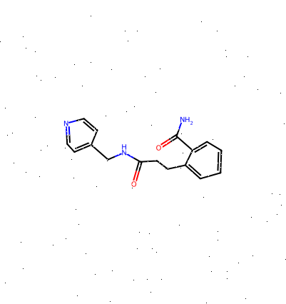 NC(=O)c1ccccc1[CH]CC(=O)NCc1ccncc1